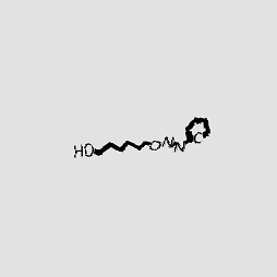 OCCCCCCON=Nc1ccccc1